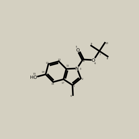 Cc1cn(C(=O)OC(C)(C)C)c2ccc(O)cc12